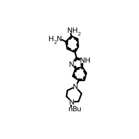 CCCCN1CCN(c2ccc3[nH]c(-c4ccc(N)c(N)c4)nc3c2)CC1